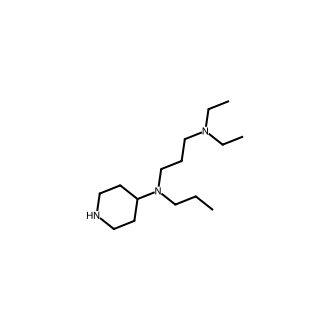 CCCN(CCCN(CC)CC)C1CCNCC1